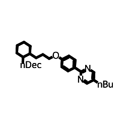 CCCCCCCCCCC1CCCCC1CCCOc1ccc(-c2ncc(CCCC)cn2)cc1